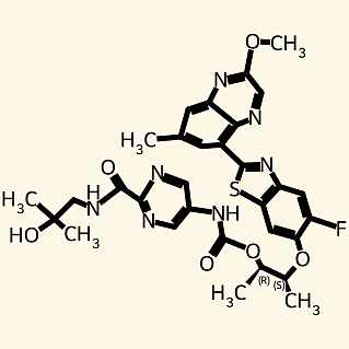 COc1cnc2c(-c3nc4cc(F)c(O[C@@H](C)[C@@H](C)OC(=O)Nc5cnc(C(=O)NCC(C)(C)O)nc5)cc4s3)cc(C)cc2n1